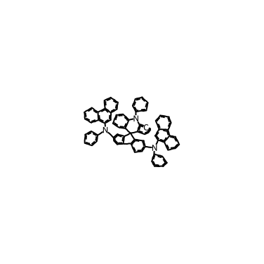 c1ccc(N2c3ccccc3C3(c4cc(N(c5ccccc5)c5cc6ccccc6c6ccccc56)ccc4-c4ccc(N(c5ccccc5)c5cc6ccccc6c6ccccc56)cc43)c3ccccc32)cc1